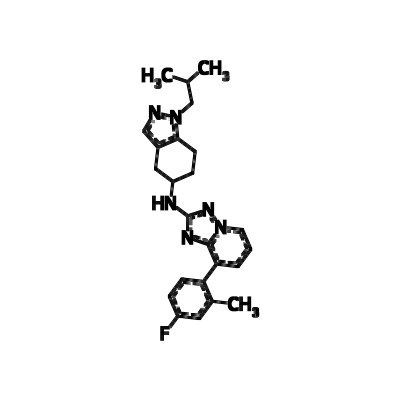 Cc1cc(F)ccc1-c1cccn2nc(NC3CCc4c(cnn4CC(C)C)C3)nc12